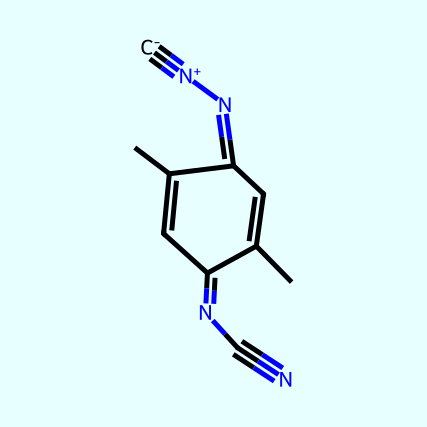 [C-]#[N+]/N=C1C=C(C)/C(=N\C#N)C=C/1C